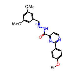 CCOc1ccc(-c2nccc(C(=O)N/N=C/c3cc(OC)cc(OC)c3)n2)cc1